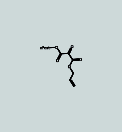 C=CCOC(=O)C(=O)C(=O)OCCCCC